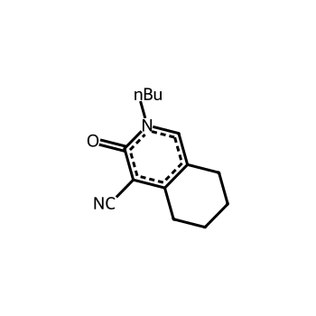 CCCCn1cc2c(c(C#N)c1=O)CCCC2